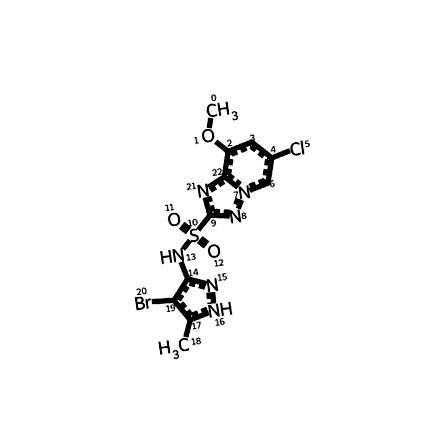 COc1cc(Cl)cn2nc(S(=O)(=O)Nc3n[nH]c(C)c3Br)nc12